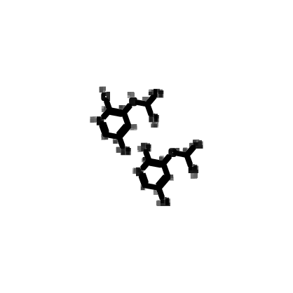 CCc1cnc(CC)c(OC(CC)CC)c1.CCc1cnc(Cl)c(OC(CC)CC)c1